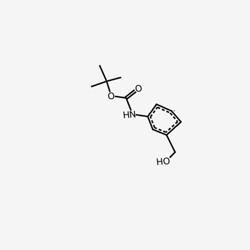 CC(C)(C)OC(=O)Nc1c[c]cc(CO)c1